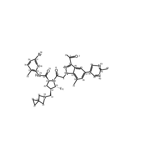 CC(=O)c1nn(CC(=O)N2[C@H](I)[C@@H](CN3CC4(CC4)C3)C[C@H]2C(=O)Nc2nc(Br)ccc2C)c2c(C)cc(-c3cnc(C)nc3)cc12